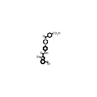 CCOc1cccc2c1cc(C(=O)Nc1ccc(N3CCN(C(=O)C4CCC(C(=O)O)CC4)CC3)cc1)n2CC